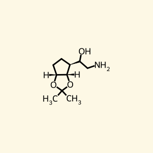 CC1(C)O[C@@H]2[C@@H](CC[C@H]2C(O)CN)O1